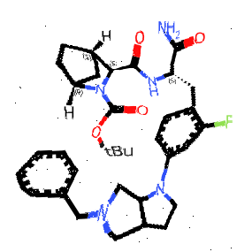 CC(C)(C)OC(=O)N1[C@@H]2CC[C@@H](C2)[C@H]1C(=O)N[C@@H](Cc1ccc(N2CCC3CN(Cc4ccccc4)CC32)cc1F)C(N)=O